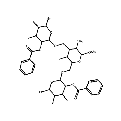 CCC1OC(OCC2OC(OC)C(OC(C)=O)C(COC3OC(CC)C(C)C(C)C3OC(=O)c3ccccc3)C2C)C(OC(=O)c2ccccc2)C(C)C1C